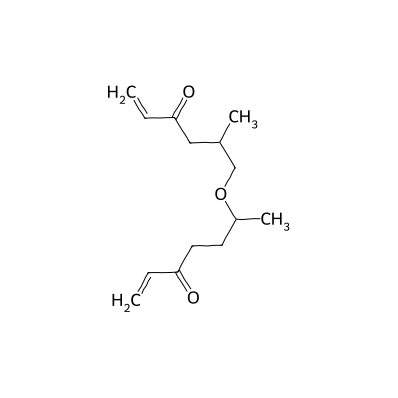 C=CC(=O)CCC(C)OCC(C)CC(=O)C=C